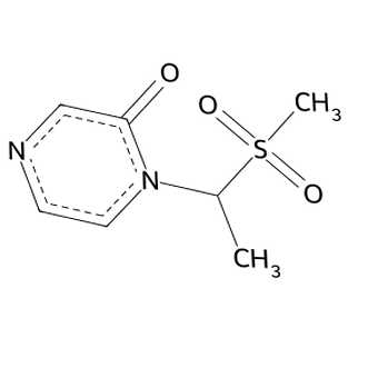 CC(n1ccncc1=O)S(C)(=O)=O